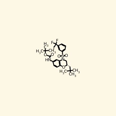 CC(C)(C)C[C@H]1CN(S(=O)(=O)c2cccc(C(F)(F)I)c2)c2cc(NC(=O)OC(C)(C)C)ccc2O1